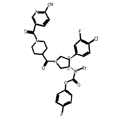 CCN(C(=O)Oc1ccc(F)cc1)[C@@H]1CN(C(=O)C2CCN(C(=O)c3ccc(C#N)nc3)CC2)C[C@H]1c1ccc(Cl)c(F)c1